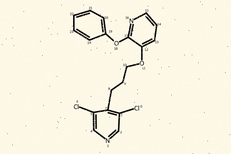 Clc1cncc(Cl)c1CCCOc1cccnc1Oc1ccccc1